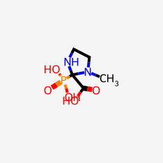 CN1CCNC1(C(=O)O)P(=O)(O)O